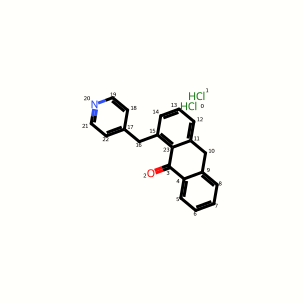 Cl.Cl.O=C1c2ccccc2Cc2cccc(Cc3ccncc3)c21